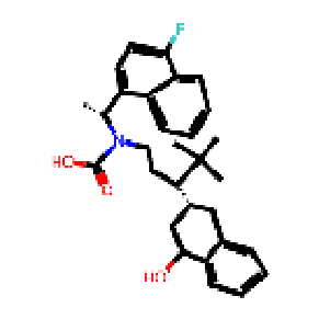 C[C@H](c1ccc(F)c2ccccc12)N(CCC([C@@H]1Cc2ccccc2C(O)C1)C(C)(C)C)C(=O)O